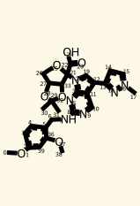 COc1ccc(CNc2ncc3c(-c4ccn(C)n4)cn(C4(C(=O)O)OCC5OC(C)(C)OC54)c3n2)c(OC)c1